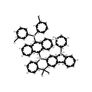 Cc1cccc(N(c2cccc(C)c2)c2c3ccccc3c(N3c4ccccc4C(C)(C)c4cc5c6ccccc6n(-c6cccnc6)c5cc43)c3ccccc23)c1